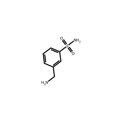 NCc1cccc(S(N)(=O)=O)c1